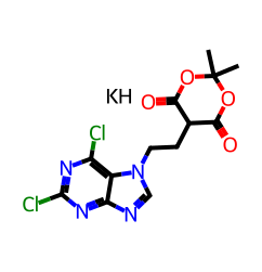 CC1(C)OC(=O)C(CCn2cnc3nc(Cl)nc(Cl)c32)C(=O)O1.[KH]